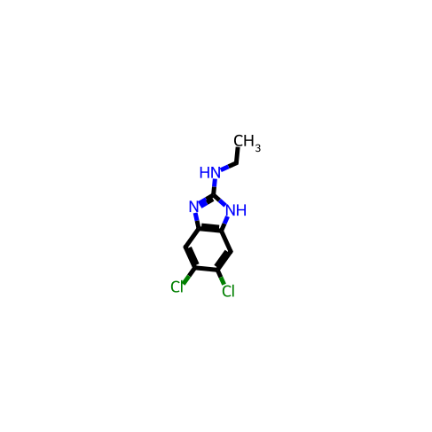 CCNc1nc2cc(Cl)c(Cl)cc2[nH]1